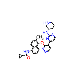 Cc1ccc2c(NC(=O)C3CC3)cccc2c1Oc1nnccc1-c1ccnc(N[C@H]2CCCNC2)n1